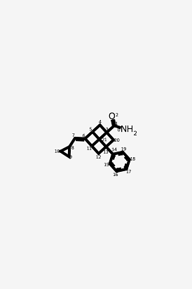 NC(=O)C12CC3/C(=C/C4CC4)C4CC(c5ccccc5)(C1)C342